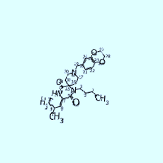 CCCCN1C(=O)C(=CC(C)C)NC(=O)C12CCN(Cc1ccc3c(c1)OCCO3)CC2